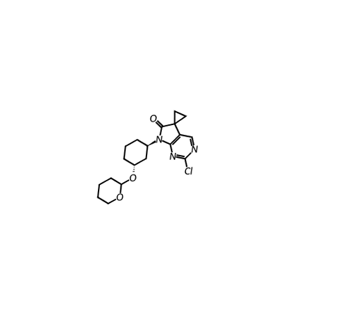 O=C1N([C@@H]2CCC[C@@H](OC3CCCCO3)C2)c2nc(Cl)ncc2C12CC2